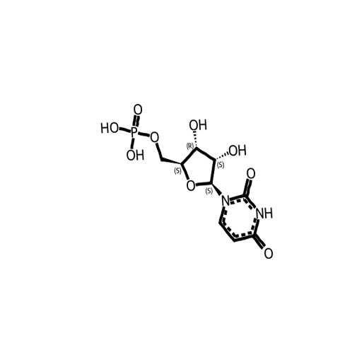 O=c1ccn([C@H]2O[C@@H](COP(=O)(O)O)[C@H](O)[C@@H]2O)c(=O)[nH]1